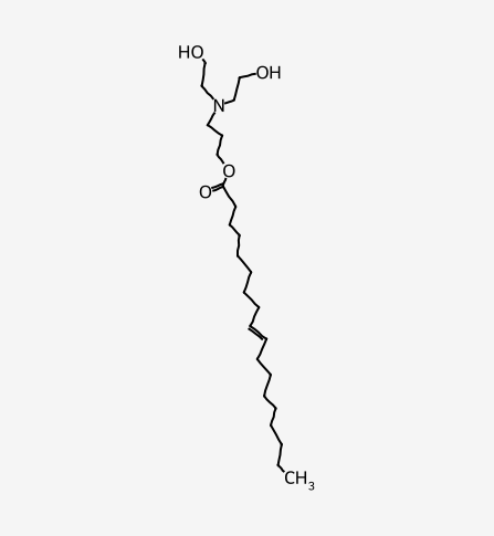 CCCCCCCCC=CCCCCCCCC(=O)OCCCN(CCO)CCO